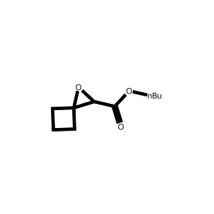 CCCCOC(=O)C1OC12CCC2